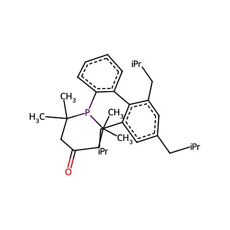 CC(C)Cc1cc(CC(C)C)c(-c2ccccc2P2C(C)(C)CC(=O)CC2(C)C)c(CC(C)C)c1